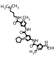 CN(C)CCCNC(=O)c1cc(NC(=O)c2cc(NC(=O)c3cc(NC=O)cn3C)cn2C2CCCC2)cn1C